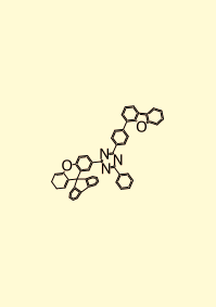 C1=C2Oc3ccc(-c4nc(-c5ccccc5)nc(-c5ccc(-c6cccc7c6oc6ccccc67)cc5)n4)cc3C3(C2=CCC1)c1ccccc1-c1ccccc13